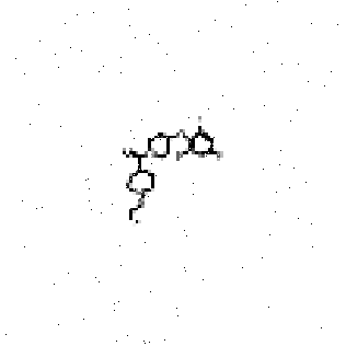 CC(C)CCN1CCC(C(=O)N2CCC(Oc3c(F)cc(F)cc3F)CC2)CC1